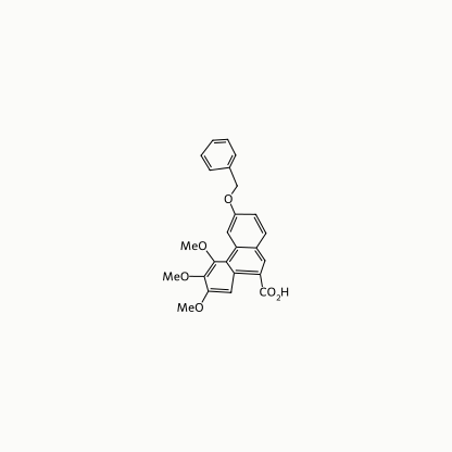 COc1cc2c(C(=O)O)cc3ccc(OCc4ccccc4)cc3c2c(OC)c1OC